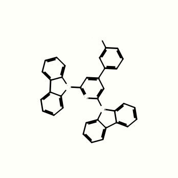 Cc1cccc(-c2cc(-n3c4ccccc4c4ccccc43)nc(-n3c4ccccc4c4ccccc43)c2)c1